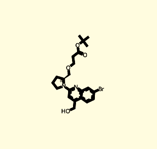 CC(C)(C)OC(=O)CCOC[C@@H]1CCCN1c1cc(CO)c2ccc(Br)cc2n1